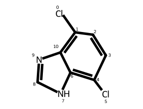 Clc1ccc(Cl)c2[nH]cnc12